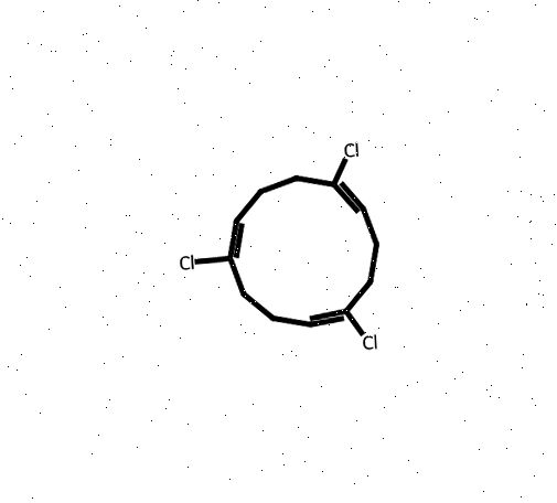 ClC1=CCCC(Cl)=CCCC(Cl)=CCC1